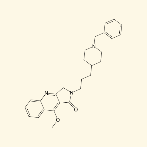 COc1c2c(nc3ccccc13)CN(CCCC1CCN(Cc3ccccc3)CC1)C2=O